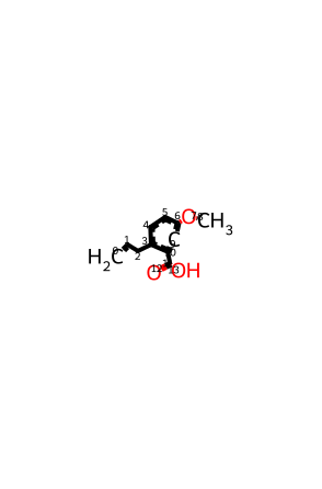 C=CCc1ccc(OC)cc1C(=O)O